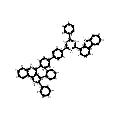 c1ccc(-c2nc(-c3ccc(-c4ccc(-c5nc6ccccc6c6oc(-c7ccccc7)c(-c7ccccc7)c56)cc4)cc3)nc(-c3cccc4c3sc3ccccc34)n2)cc1